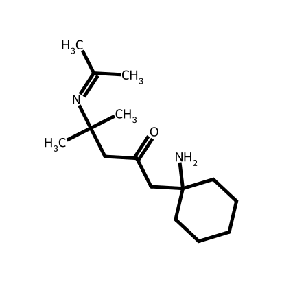 CC(C)=NC(C)(C)CC(=O)CC1(N)CCCCC1